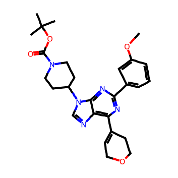 COc1cccc(-c2nc(C3=CCOCC3)c3ncn(C4CCN(C(=O)OC(C)(C)C)CC4)c3n2)c1